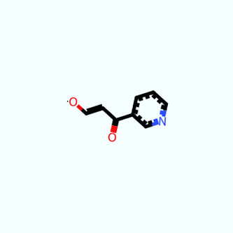 [O]C=CC(=O)c1cccnc1